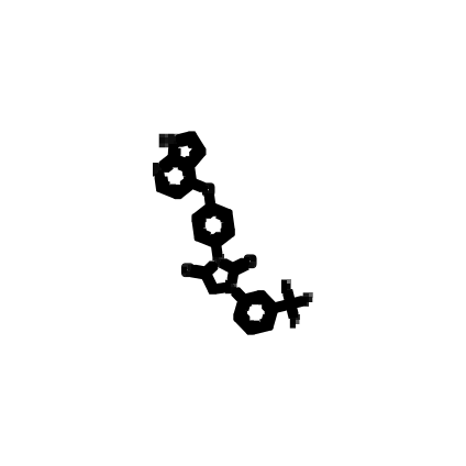 O=C1CN(c2cccc(C(F)(F)F)c2)C(=O)N1c1ccc(Oc2ccnc3[nH]ccc23)cc1